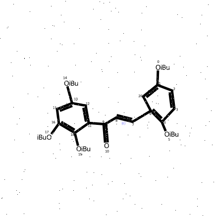 CC(C)COc1ccc(OCC(C)C)c(/C=C/C(=O)c2cc(OCC(C)C)cc(OCC(C)C)c2OCC(C)C)c1